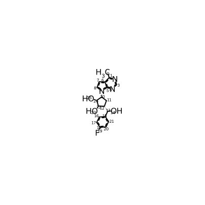 Cc1ncnc2c1ccn2[C@@H]1C[C@H](C(O)c2ccc(F)cc2)[C@@H](O)[C@H]1O